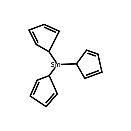 C1=C[CH]([Sm]([CH]2C=CC=C2)[CH]2C=CC=C2)C=C1